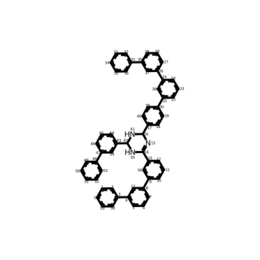 c1ccc(-c2cccc(-c3cccc(C4=NC(c5ccc(-c6cccc(-c7cccc(-c8ccccc8)c7)c6)cc5)NC(c5cccc(-c6ccccc6)c5)N4)c3)c2)cc1